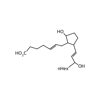 CCCCCCC(O)/C=C/C1CCC(O)C1C/C=C/CCCC(=O)O